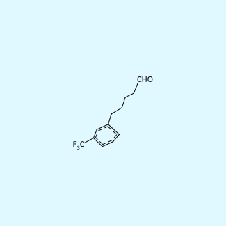 O=CCCCCc1cccc(C(F)(F)F)c1